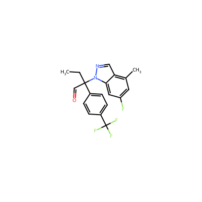 CCC(C=O)(c1ccc(C(F)(F)F)cc1)n1ncc2c(C)cc(F)cc21